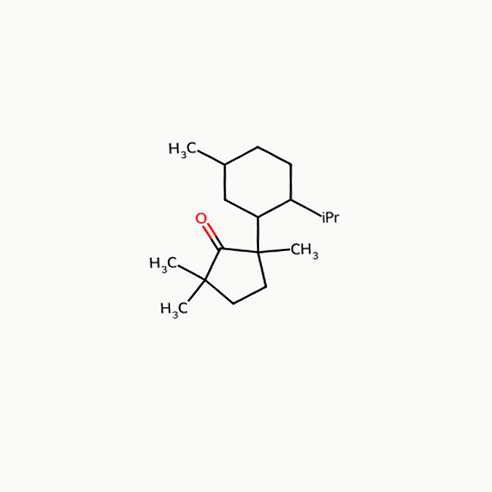 CC1CCC(C(C)C)C(C2(C)CCC(C)(C)C2=O)C1